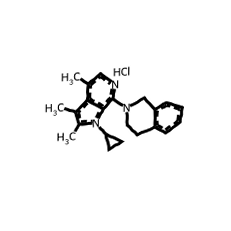 Cc1cnc(N2CCc3ccccc3C2)c2c1c(C)c(C)n2C1CC1.Cl